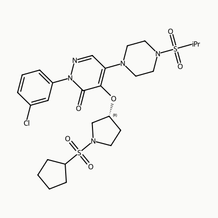 CC(C)S(=O)(=O)N1CCN(c2cnn(-c3cccc(Cl)c3)c(=O)c2O[C@@H]2CCN(S(=O)(=O)C3CCCC3)C2)CC1